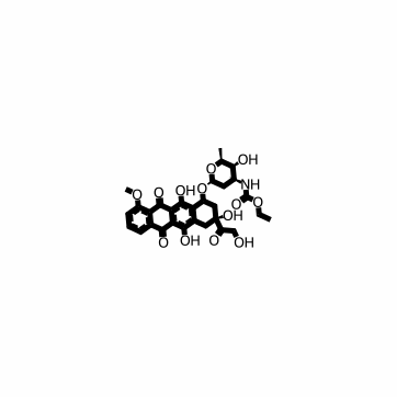 CCOC(=O)N[C@H]1C[C@H](OC2C[C@](O)(C(=O)CO)Cc3c(O)c4c(c(O)c32)C(=O)c2c(OC)cccc2C4=O)O[C@@H](C)[C@H]1O